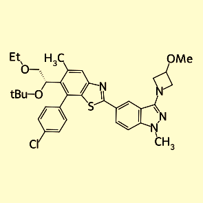 CCOC[C@@H](OC(C)(C)C)c1c(C)cc2nc(-c3ccc4c(c3)c(N3CC(OC)C3)nn4C)sc2c1-c1ccc(Cl)cc1